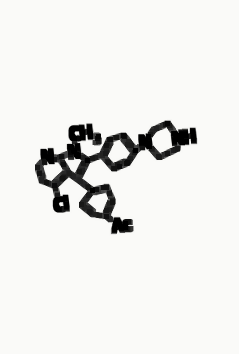 CC(=O)c1ccc(-c2c(-c3ccc(N4CCNCC4)cc3)n(C)c3nccc(Cl)c23)cc1